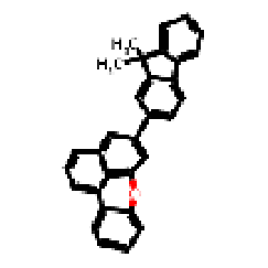 CC1(C)c2ccccc2-c2ccc(-c3cc4c5c(cccc5c3)-c3ccccc3O4)cc21